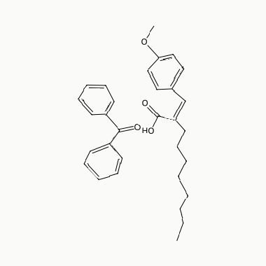 CCCCCCCCC(=Cc1ccc(OC)cc1)C(=O)O.O=C(c1ccccc1)c1ccccc1